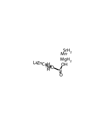 O=[Si](O)O.[CaH2].[La].[MgH2].[Mn].[NaH].[SrH2].[Zn]